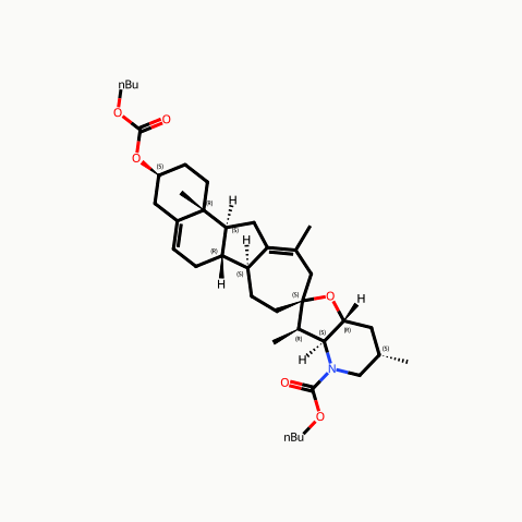 CCCCOC(=O)O[C@H]1CC[C@@]2(C)C(=CC[C@H]3[C@@H]4CC[C@@]5(CC(C)=C4C[C@@H]32)O[C@@H]2C[C@H](C)CN(C(=O)OCCCC)[C@H]2[C@H]5C)C1